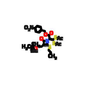 C=CCS[C@@H]1[C@@H](CCO[Si](C)(C)C(C)(C)C)C(=O)N1C(C(=O)OCc1ccc([N+](=O)[O-])cc1)=C(SC(C)=O)SC(C)=O